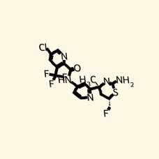 C[C@@]1(c2cc(NC(=O)c3ncc(Cl)cc3C(F)(F)F)ccn2)C[C@@H](CF)SC(N)=N1